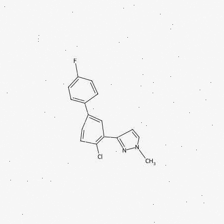 Cn1ccc(-c2cc(-c3ccc(F)cc3)ccc2Cl)n1